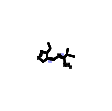 CCC1N=NC/C1=C/N=C(\N)C(C)C